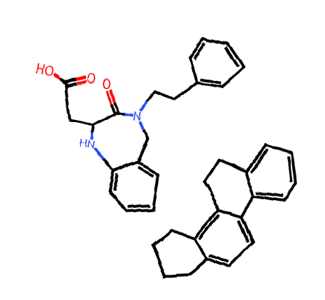 O=C(O)CC1Nc2ccccc2CN(CCc2ccccc2)C1=O.c1ccc2c(c1)CCc1c-2ccc2c1CCCC2